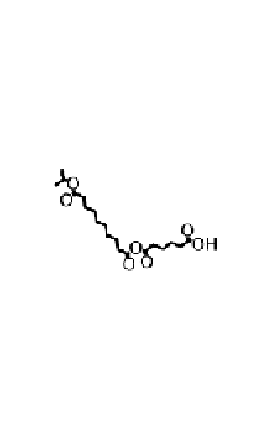 CC(C)OC(=O)CCCCCCCCC(=O)OC(=O)CCCCC(=O)O